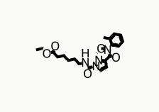 CCOC(=O)CCCCCNC(=O)n1ccc(C(=O)N(OC)c2ccccc2C)n1